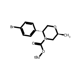 C[C@H]1CN(C(=O)OC(C)(C)C)[C@H](c2ccc(Br)cc2)CO1